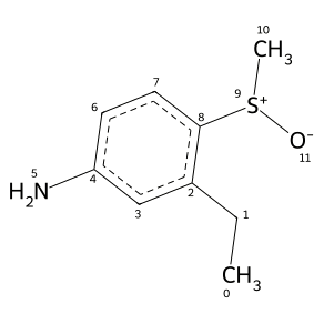 CCc1cc(N)ccc1[S+](C)[O-]